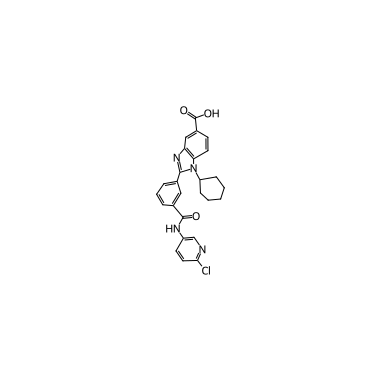 O=C(O)c1ccc2c(c1)nc(-c1cccc(C(=O)Nc3ccc(Cl)nc3)c1)n2C1CCCCC1